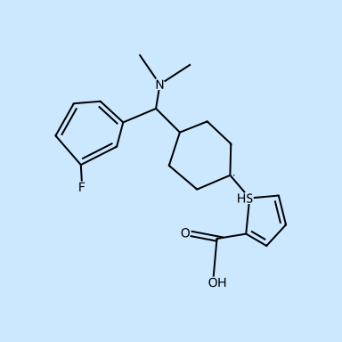 CN(C)C(c1cccc(F)c1)C1CC[C]([SH]2C=CC=C2C(=O)O)CC1